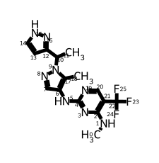 CNc1nc(Nc2cnn(C(C)c3cc[nH]n3)c2C)ncc1C(F)(F)F